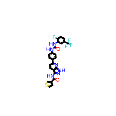 O=C(Nc1ccc(-c2ccc3c(NC(=O)c4ccsc4)n[nH]c3n2)cc1)Nc1cc(C(F)(F)F)ccc1F